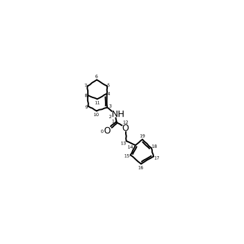 O=C(NC1=C2CCCC(CC1)C2)OCc1ccccc1